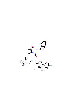 [2H]c1c([2H])c(C([2H])([2H])Sc2nc(=O)c3c(n2C([2H])([2H])C(=O)N(CCN(C([2H])([2H])C)C([2H])([2H])C)Cc2c([2H])c([2H])c(-c4c([2H])c([2H])c(C(F)(F)F)c([2H])c4[2H])c([2H])c2C)CCC3)c([2H])c([2H])c1F